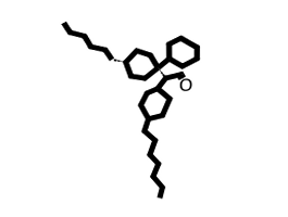 CCCCCCCC1CCC(C(C=O)[C@]2(C3CCCCC3)CC[C@H](CCCCCC)CC2)CC1